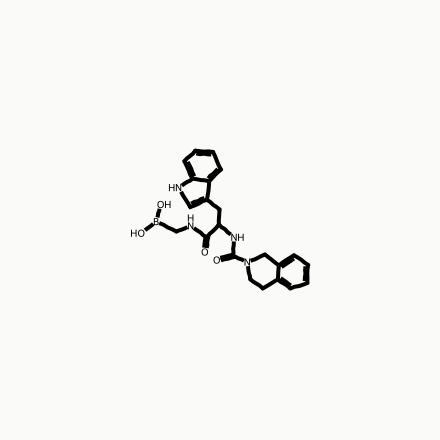 O=C(NCB(O)O)C(Cc1c[nH]c2ccccc12)NC(=O)N1CCc2ccccc2C1